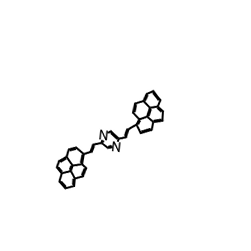 C(=C\c1ccc2ccc3cccc4ccc1c2c34)/c1cnc(/C=C/c2ccc3ccc4cccc5ccc2c3c45)cn1